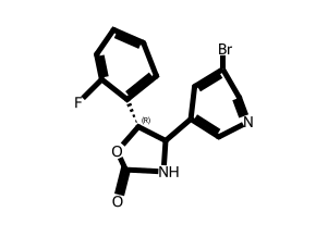 O=C1NC(c2cncc(Br)c2)[C@@H](c2ccccc2F)O1